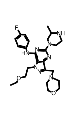 CCOCCn1nc(CN2CCOCC2)c2nc(N3CCNC(C)C3)nc(Nc3ccc(F)cc3)c21